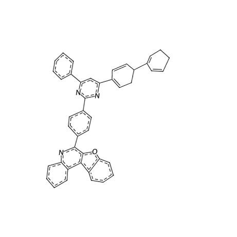 C1=CC(C2C=CC(c3cc(-c4ccccc4)nc(-c4ccc(-c5nc6ccccc6c6c5oc5ccccc56)cc4)n3)=CC2)=CCC1